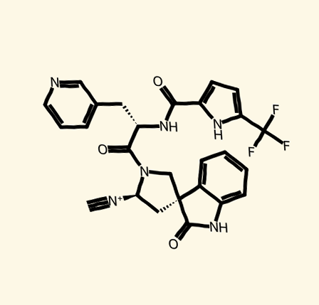 C#[N+][C@@H]1C[C@@]2(CN1C(=O)[C@H](Cc1cccnc1)NC(=O)c1ccc(C(F)(F)F)[nH]1)C(=O)Nc1ccccc12